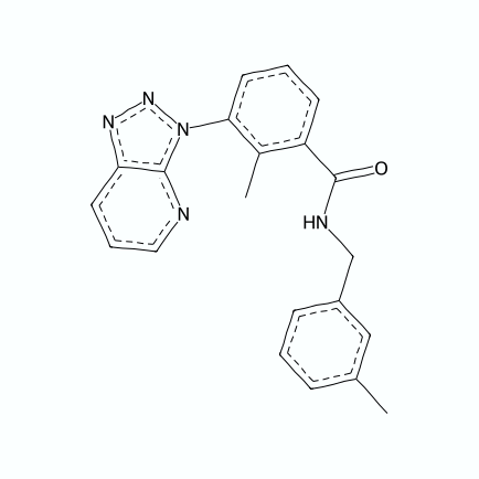 Cc1cccc(CNC(=O)c2cccc(-n3nnc4cccnc43)c2C)c1